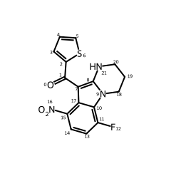 O=C(c1cccs1)c1c2n(c3c(F)ccc([N+](=O)[O-])c13)CCCN2